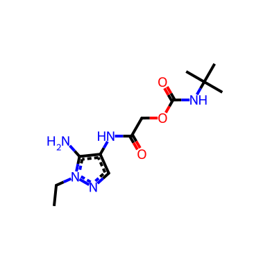 CCn1ncc(NC(=O)COC(=O)NC(C)(C)C)c1N